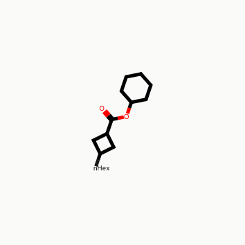 CCCCCCC1CC(C(=O)OC2CCCCC2)C1